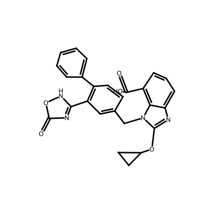 O=C(O)c1cccc2nc(OC3CC3)n(Cc3ccc(-c4ccccc4)c(-c4nc(=O)o[nH]4)c3)c12